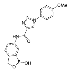 COc1ccc(-n2cc(C(=O)Nc3ccc4c(c3)B(O)OC4)nn2)cc1